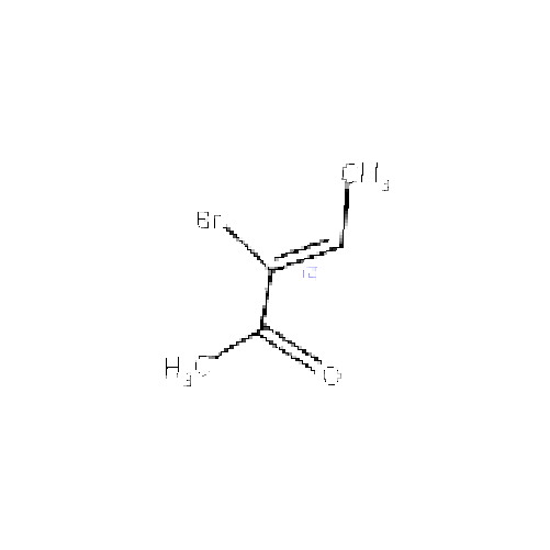 C/C=C(\Br)C(C)=O